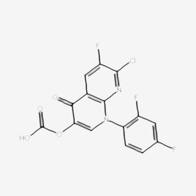 O=C(O)Oc1cn(-c2ccc(F)cc2F)c2nc(Cl)c(F)cc2c1=O